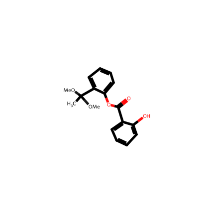 COC(C)(OC)c1ccccc1OC(=O)c1ccccc1O